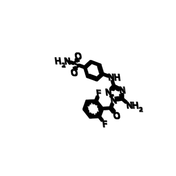 Nc1nc(NC2=CCC(S(N)(=O)=O)C=C2)nn1C(=O)c1c(F)cccc1F